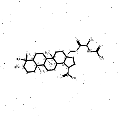 C=C(C)[C@@H]1CC[C@]2(COC(=O)C(C)NC(C)=O)CC[C@]3(C)C(CCC4[C@@]5(C)CC[C@H](O)C(C)(C)C5CC[C@]43C)C12